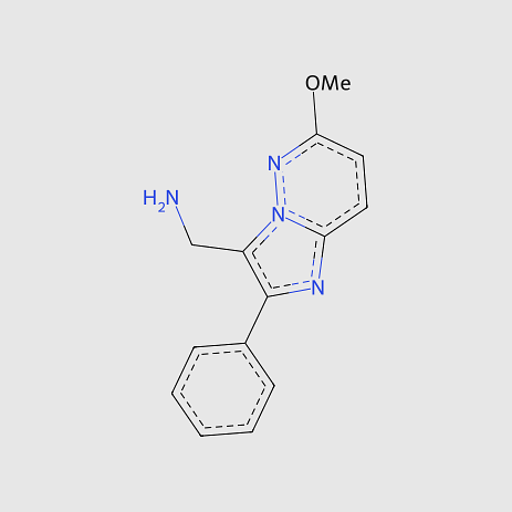 COc1ccc2nc(-c3ccccc3)c(CN)n2n1